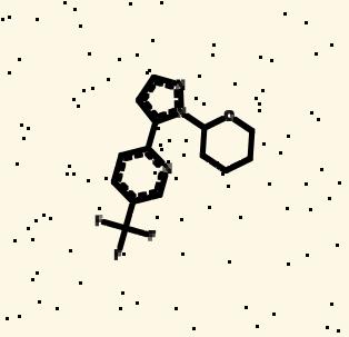 FC(F)(F)c1ccc(-c2ccnn2C2CCCCO2)nc1